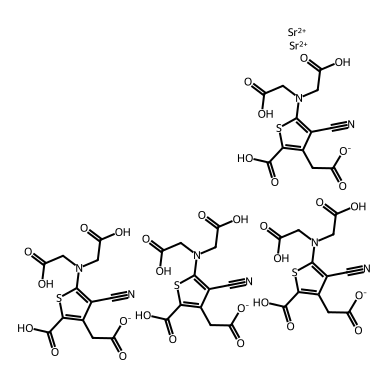 N#Cc1c(N(CC(=O)O)CC(=O)O)sc(C(=O)O)c1CC(=O)[O-].N#Cc1c(N(CC(=O)O)CC(=O)O)sc(C(=O)O)c1CC(=O)[O-].N#Cc1c(N(CC(=O)O)CC(=O)O)sc(C(=O)O)c1CC(=O)[O-].N#Cc1c(N(CC(=O)O)CC(=O)O)sc(C(=O)O)c1CC(=O)[O-].[Sr+2].[Sr+2]